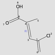 C=C(Cl)/C=C(\C)C(=O)O